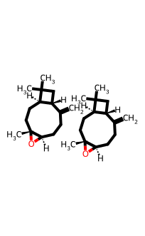 C=C1CC[C@H]2O[C@]2(C)CC[C@@H]2[C@@H]1CC2(C)C.C=C1CC[C@H]2O[C@]2(C)CC[C@@H]2[C@@H]1CC2(C)C